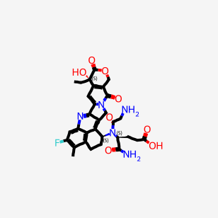 CC[C@@]1(O)C(=O)OCc2c1cc1n(c2=O)Cc2c-1nc1cc(F)c(C)c3c1c2[C@@H](N(C(=O)CN)[C@@H](CCC(=O)O)C(N)=O)CC3